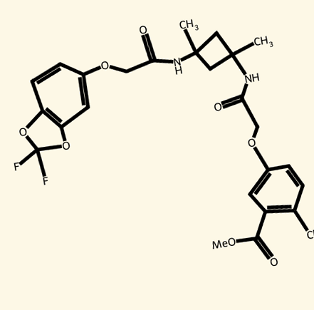 COC(=O)c1cc(OCC(=O)NC2(C)CC(C)(NC(=O)COc3ccc4c(c3)OC(F)(F)O4)C2)ccc1Cl